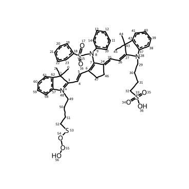 CC1(C)C(/C=C/C2=C(N(c3ccccc3)S(=O)(=O)c3ccccc3)C(=C/C=C3/N(CCCCS(=O)(=O)O)c4ccccc4C3(C)C)/CC2)=[N+](CCCCSOOO)c2ccccc21